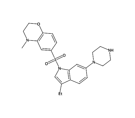 CCc1cn(S(=O)(=O)c2ccc3c(c2)N(C)CCO3)c2cc(N3CCNCC3)ccc12